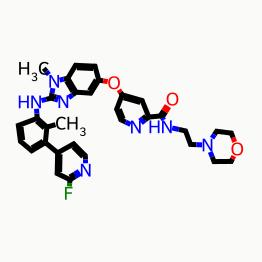 Cc1c(Nc2nc3cc(Oc4ccnc(C(=O)NCCN5CCOCC5)c4)ccc3n2C)cccc1-c1ccnc(F)c1